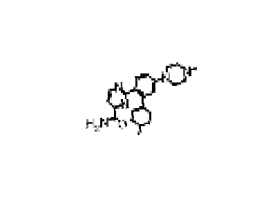 CC1CC=C(c2cc(N3CCN(C)CC3)ccc2-c2nccc(C(N)=O)n2)CC1